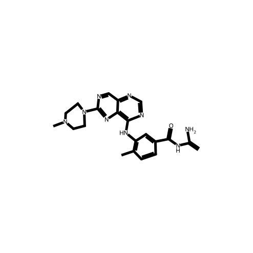 C=C(N)NC(=O)c1ccc(C)c(Nc2ncnc3cnc(N4CCN(C)CC4)nc23)c1